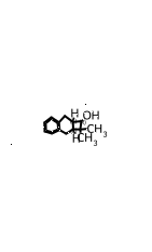 CC1(C)[C@H](O)[C@H]2Cc3ccccc3C[C@H]21